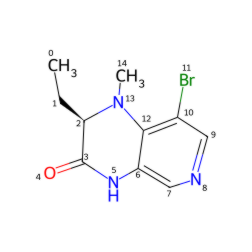 CC[C@@H]1C(=O)Nc2cncc(Br)c2N1C